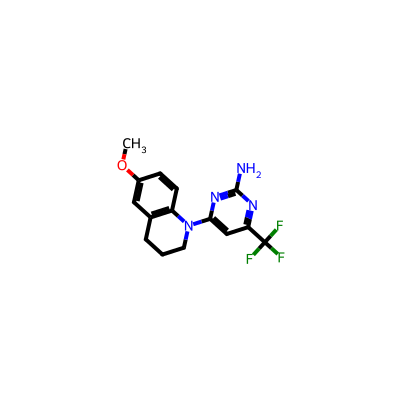 COc1ccc2c(c1)CCCN2c1cc(C(F)(F)F)nc(N)n1